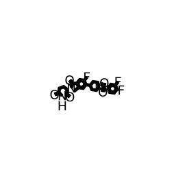 O=C1CCC(N2Cc3cc(C4CCN(S(=O)(=O)c5ccc(F)c(F)c5)CC4)c(F)cc3C2=O)C(=O)N1